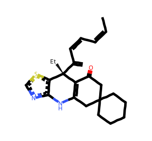 C=C(/C=C\C=C/C)[C@]1(CC)C2=C(CC3(CCCCC3)CC2=O)Nc2ncsc21